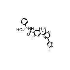 Nc1ncc(-c2cn[nH]c2)nc1-c1ccc(C(=O)N[C@H](CO)c2ccccc2)c(F)c1